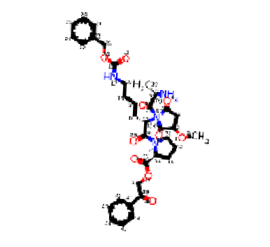 COC1CC(=O)[N+](C(=O)[C@H](C)N)([C@@H](CCCCNC(=O)OCc2ccccc2)C(=O)N2CCC[C@H]2C(=O)OCC(=O)c2ccccc2)C1=O